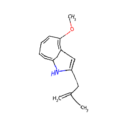 C=C(C)Cc1cc2c(OC)cccc2[nH]1